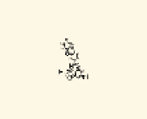 CC(N=Cc1cccc(Oc2ccccc2)c1)c1c(Cl)cc(Cl)cc1Cl